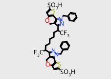 O=S(=O)(O)c1cc2c(s1)-c1c(c(C(CCCCCC(c3nn(Cc4ccccc4)c4c3COc3cc(S(=O)(=O)O)sc3-4)C(F)(F)F)C(F)(F)F)nn1Cc1ccccc1)CO2